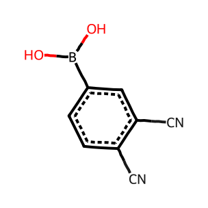 N#Cc1ccc(B(O)O)cc1C#N